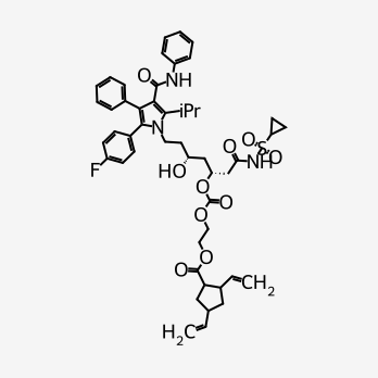 C=CC1CC(C=C)C(C(=O)OCCOC(=O)O[C@@H](CC(=O)NS(=O)(=O)C2CC2)C[C@H](O)CCn2c(-c3ccc(F)cc3)c(-c3ccccc3)c(C(=O)Nc3ccccc3)c2C(C)C)C1